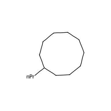 [CH2]CCC1CCCCCCCCC1